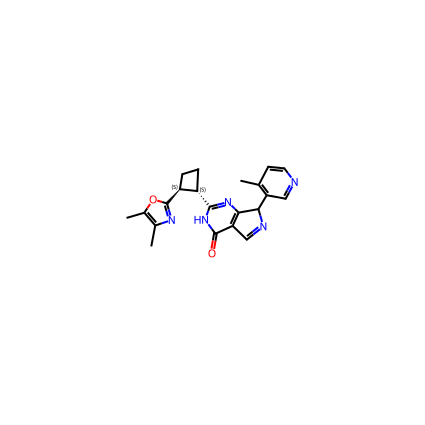 Cc1ccncc1C1N=Cc2c1nc([C@H]1CC[C@@H]1c1nc(C)c(C)o1)[nH]c2=O